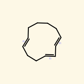 C1=C/CC/C=C/CCCC/C=C/1